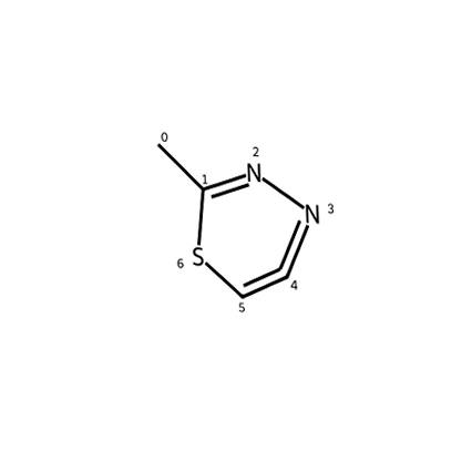 CC1=NN=C=CS1